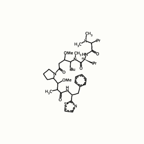 CCC(C)C(C(CC(=O)N1CCCC1C(OC)C(C)C(=O)NC(Cc1ccccc1)c1nccs1)OC)N(C)C(=O)[C@@H](NC(=O)C(C(C)C)N(C)C)C(C)C